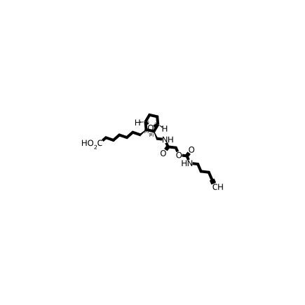 C#CCCCNC(=O)OCC(=O)NC[C@H]1[C@@H](CCCCCCC(=O)O)[C@H]2CC[C@@H]1O2